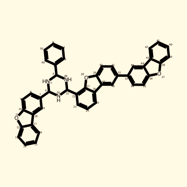 c1ccc(C2NC(c3ccc4oc5ccccc5c4c3)NC(c3cccc4c3oc3ccc(-c5ccc6oc7ccccc7c6c5)cc34)N2)cc1